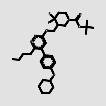 CCCCc1nnc(OCC2CN(C(=O)OC(C)(C)C)CCC2(F)F)cc1-c1ccc(OC2CCCCC2)cc1